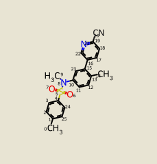 Cc1ccc(S(=O)(=O)N(C)c2ccc(C)c(-c3ccc(C#N)nc3)c2)cc1